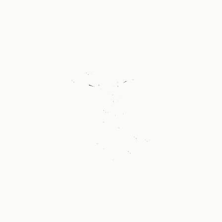 Cc1noc([C@@]23C[C@@H](C)C[C@@H](C2)N3C(=O)Nc2ccc(C)c(-c3nccnn3)c2)n1